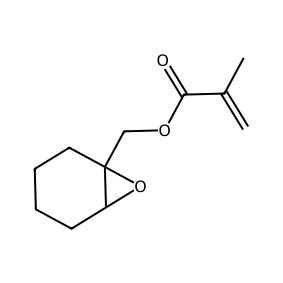 C=C(C)C(=O)OCC12CCCCC1O2